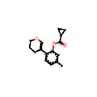 Cc1ccc(C2=COCCC2)c(OC(=O)C2CC2)c1